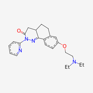 CCN(CC)CCOc1ccc2c(c1)CCC1CC(=O)N(c3ccccn3)N=C21